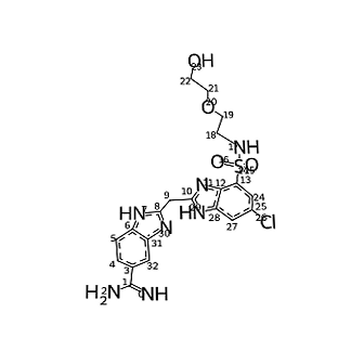 N=C(N)c1ccc2[nH]c(Cc3nc4c(S(=O)(=O)NCCOCCO)cc(Cl)cc4[nH]3)nc2c1